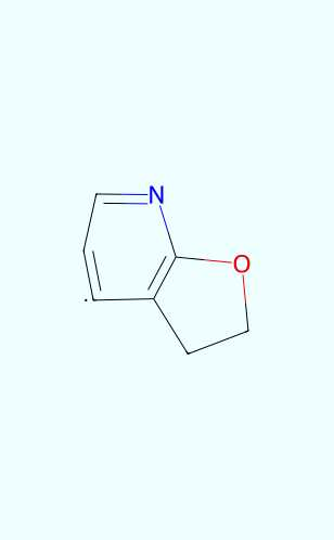 [c]1ccnc2c1CCO2